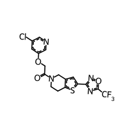 O=C(COc1cncc(Cl)c1)N1CCc2sc(-c3noc(C(F)(F)F)n3)cc2C1